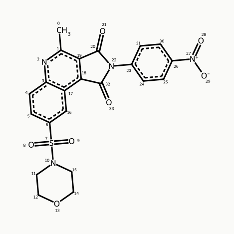 Cc1nc2ccc(S(=O)(=O)N3CCOCC3)cc2c2c1C(=O)N(c1ccc([N+](=O)[O-])cc1)C2=O